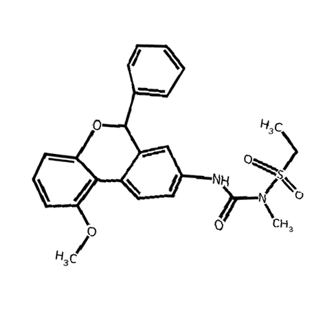 CCS(=O)(=O)N(C)C(=O)Nc1ccc2c(c1)C(c1ccccc1)Oc1cccc(OC)c1-2